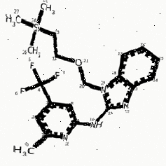 Cc1cc(C(F)(F)F)cc(Nc2nc3ccccc3n2COCC[Si](C)(C)C)n1